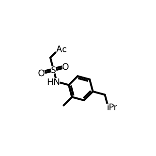 CC(=O)CS(=O)(=O)Nc1ccc(CC(C)C)cc1C